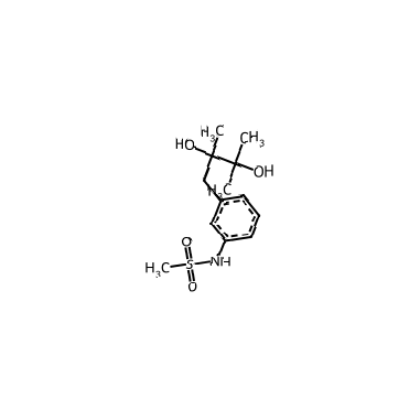 CC(C)(O)C(C)(O)Cc1cccc(NS(C)(=O)=O)c1